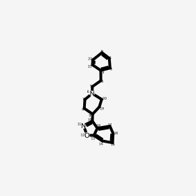 c1ccc(CCN2CCC(c3noc4ccccc34)CC2)cc1